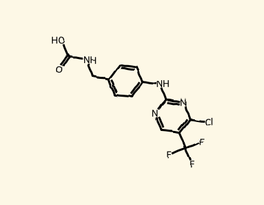 O=C(O)NCc1ccc(Nc2ncc(C(F)(F)F)c(Cl)n2)cc1